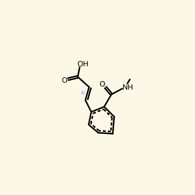 CNC(=O)c1ccccc1/C=C/C(=O)O